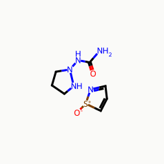 NC(=O)NN1CCCN1.[O-][s+]1cccn1